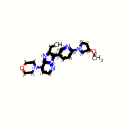 CCc1nc2c(N3CCOCC3)ccnn2c1-c1ccc(N2CCC(OC)C2)nc1